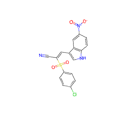 N#CC(=Cc1c[nH]c2ccc([N+](=O)[O-])cc12)S(=O)(=O)c1ccc(Cl)cc1